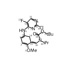 COC1=CC=C(Nc2nc(Cl)ncc2F)CC1=CN(C(=O)OC(C)(C)C)C(C)C